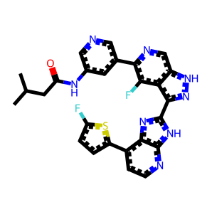 CC(C)CC(=O)Nc1cncc(-c2ncc3[nH]nc(-c4nc5c(-c6ccc(F)s6)ccnc5[nH]4)c3c2F)c1